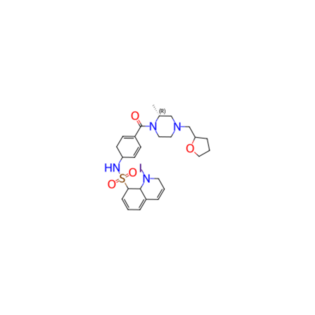 C[C@@H]1CN(CC2CCCO2)CCN1C(=O)C1=CCC(NS(=O)(=O)C2C=CC=C3C=CCN(I)C32)C=C1